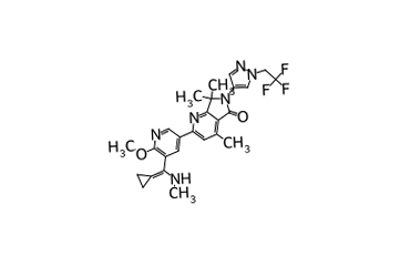 CNC(=C1CC1)c1cc(-c2cc(C)c3c(n2)C(C)(C)N(c2cnn(CC(F)(F)F)c2)C3=O)cnc1OC